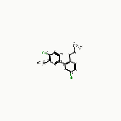 O=C(O)CCc1ccc(Br)cc1-c1ccc(Cl)c([N+](=O)[O-])c1